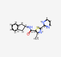 CCc1nc(-c2ncccn2)sc1C(=O)NC1Cc2ccccc2C1